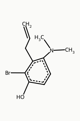 C=CCc1c(N(C)C)ccc(O)c1Br